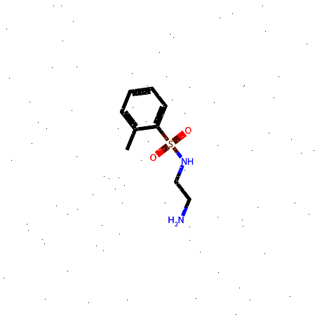 Cc1ccccc1S(=O)(=O)NCCN